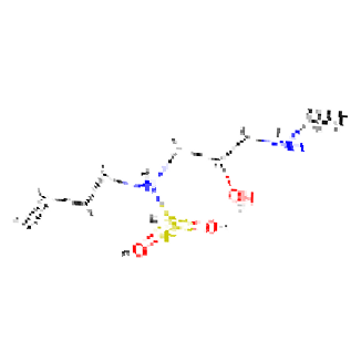 C=CCCN(CC(O)CNC(=O)O)[SH](=O)=O